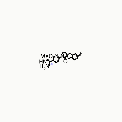 COc1nc(N2CCC3(Cc4ccc(F)cc4C3)C2=O)ccc1/C(C=N)=C/N